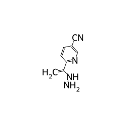 C=C(NN)c1ccc(C#N)cn1